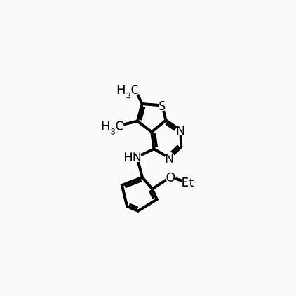 CCOc1ccccc1Nc1ncnc2sc(C)c(C)c12